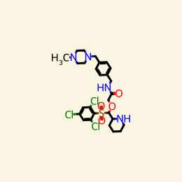 CN1CCN(Cc2ccc(CNC(=O)COC(C3CCCCN3)S(=O)(=O)c3c(Cl)cc(Cl)cc3Cl)cc2)CC1